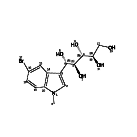 Cn1cc([C@H](O)[C@H](O)[C@H](O)[C@H](O)CO)c2cc(Br)ccc21